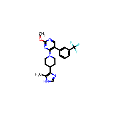 COc1ncc(-c2cccc(C(F)(F)F)c2)c(N2CCC(c3nc[nH]c3C)CC2)n1